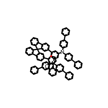 c1ccc(-c2ccc(N(c3ccc(-c4ccccc4)cc3)c3cc(-c4ccc5c(c4)C4(c6ccccc6-5)c5ccccc5-c5ccc(-c6cccc7c6oc6ccccc67)cc54)cc(N(c4ccc(-c5ccccc5)cc4)c4ccc(-c5ccccc5)cc4)c3)cc2)cc1